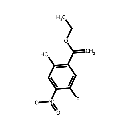 C=C(OCC)c1cc(F)c([N+](=O)[O-])cc1O